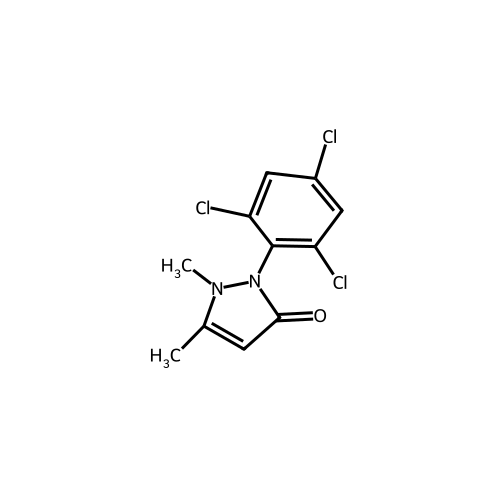 Cc1cc(=O)n(-c2c(Cl)cc(Cl)cc2Cl)n1C